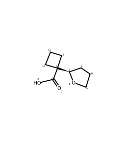 O=C(O)C1([C@H]2CCCO2)CCC1